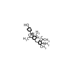 Cc1cc(Cc2cc(C)c(/N=C/c3ccc(O)cc3)c(C(C)C)c2)cc(C(C)C)c1N